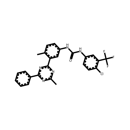 Cc1nc(-c2ccccc2)nc(-c2cc(NC(=O)Nc3ccc(Cl)c(C(F)(F)F)c3)ccc2C)n1